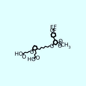 CS(=O)(=O)c1cc(OCCCCCCc2cccc(OCCCC(=O)O)c2CCC(=O)O)cc(-c2ccc(OC(F)(F)F)cc2)c1